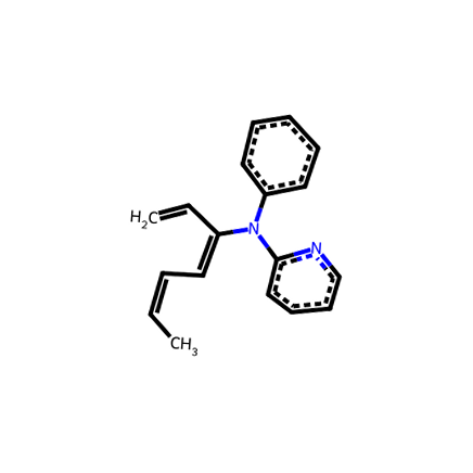 C=C/C(=C\C=C/C)N(c1ccccc1)c1ccccn1